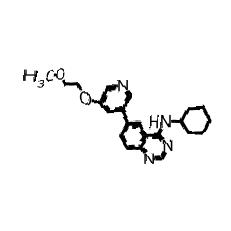 COCCOc1cncc(-c2ccc3ncnc(NC4CCCCC4)c3c2)c1